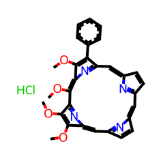 COC1=C2N=C(C=C3C=CC(=N3)C=C3C=CC(=N3)C=C3N=C1C(OC)=C3OC)C(c1ccccc1)=C2OC.Cl